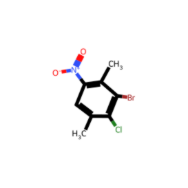 Cc1cc([N+](=O)[O-])c(C)c(Br)c1Cl